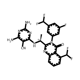 C[C@H](Nc1nc(N)nc(N)c1C#N)c1nc2cccc(C(F)F)c2c(=O)n1-c1cc(F)cc(C(F)F)c1